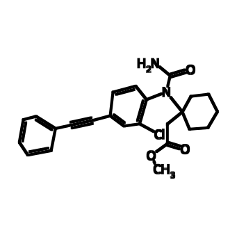 COC(=O)CC1(N(C(N)=O)c2ccc(C#Cc3ccccc3)cc2Cl)CCCCC1